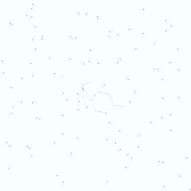 CC(C)N1CCc2nc(C(=O)O)sc2C1.[LiH]